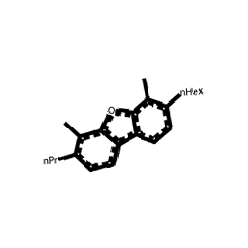 CCCCCCc1ccc2c(oc3c(C)c(CCC)ccc32)c1C